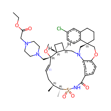 CCOC(=O)CN1CCN(C[C@]2(OC)/C=C/C[C@H](C)[C@@H](C)S(=O)(=O)NC(=O)c3ccc4c(c3)N(C[C@@H]3CC[C@H]32)C[C@@]2(CCCc3cc(Cl)ccc32)CO4)CC1